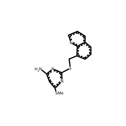 CSc1cc(N)nc(SCc2cccc3cccnc23)n1